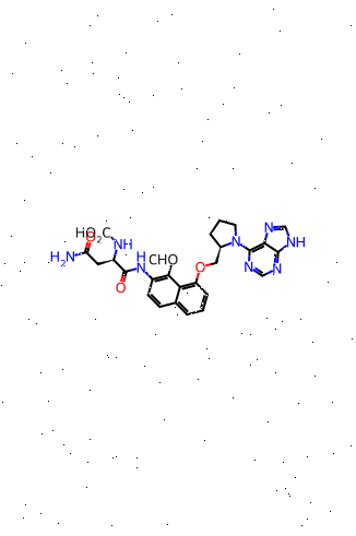 NC(=O)C[C@@H](NC(=O)O)C(=O)Nc1ccc2cccc(OC[C@H]3CCCN3c3ncnc4[nH]cnc34)c2c1C=O